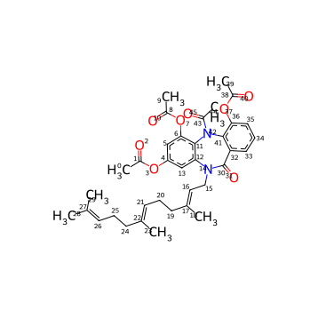 CC(=O)Oc1cc(OC(C)=O)c2c(c1)N(C/C=C(\C)CC/C=C(\C)CCC=C(C)C)C(=O)c1cccc(OC(C)=O)c1N2C(C)=O